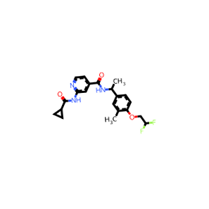 Cc1cc(C(C)NC(=O)c2ccnc(NC(=O)C3CC3)c2)ccc1OCC(F)F